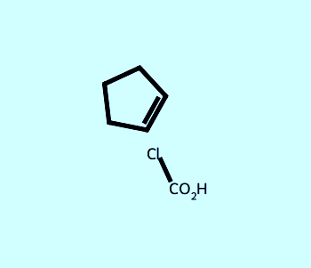 C1=CCCC1.O=C(O)Cl